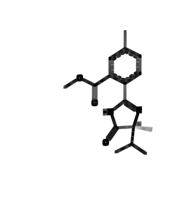 COC(=O)c1cc(C)ccc1C1=N[C@@](C)(C(C)C)C(=O)N1